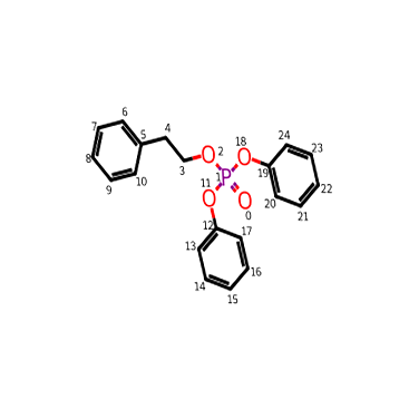 O=P(OCCc1ccccc1)(Oc1ccccc1)Oc1ccccc1